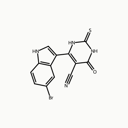 N#Cc1c(-c2c[nH]c3ccc(Br)cc23)[nH]c(=S)[nH]c1=O